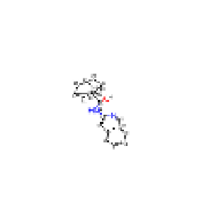 O=C(Nc1cc2ccccc2cn1)C12CC3CC(CC(C3)C1)C2